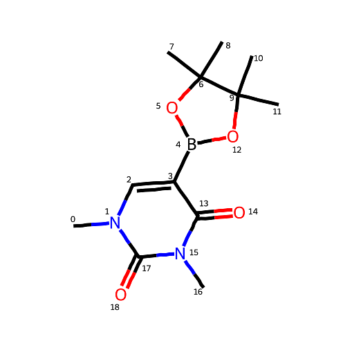 Cn1cc(B2OC(C)(C)C(C)(C)O2)c(=O)n(C)c1=O